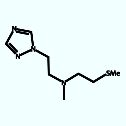 CSCCN(C)CCn1cncn1